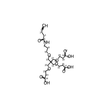 C#CCCC(=O)NCCCOCC(COCCC(=O)O)(COCCC(=O)O)COCCC(=O)O